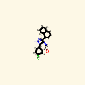 O=C=Nc1c(C2CCCc3ccccc32)n[nH]c1-c1ccc(Cl)cc1